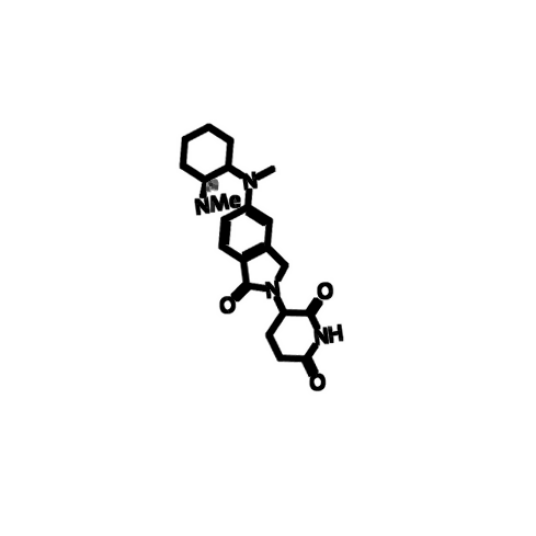 CN[C@H]1CCCCC1N(C)c1ccc2c(c1)CN(C1CCC(=O)NC1=O)C2=O